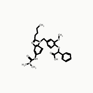 CCCCc1nc2cc(NC(=O)N(C)C)ccc2n1Cc1ccc(OC(C(=O)O)c2ccccc2)c(OC)c1